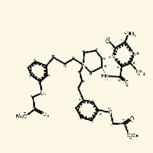 COC(=O)COc1cccc(CCC[N+]2(CCCc3cccc(OCC(=O)OC)c3)CCC[C@H](NC(=O)c3nc(Cl)c(N)nc3N)C2)c1